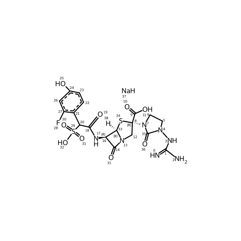 N=C(N)NN1CCN([C@]2(C(=O)O)CN3C(=O)[C@@H](NC(=O)C(c4ccc(O)cc4F)S(=O)(=O)O)[C@H]3S2)C1=O.[NaH]